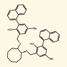 CC(C)(C)c1cc(CSC2CCCCCC[C@@H]2SCc2cc(C(C)(C)C)cc(-c3cccc4ccccc34)c2O)c(O)c(-c2cccc3ccccc23)c1